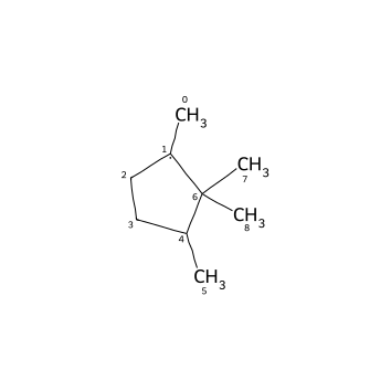 C[C]1CCC(C)C1(C)C